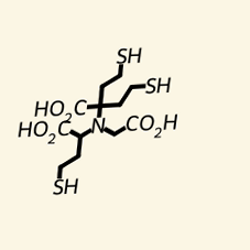 O=C(O)CN(C(CCS)C(=O)O)C(CCS)(CCS)C(=O)O